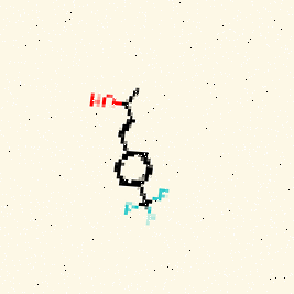 CC(O)C=Cc1ccc(C(F)(F)F)cc1